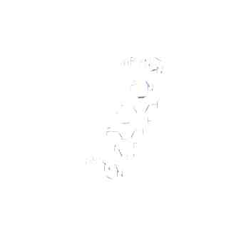 CCCCn1cc[n+](C)c1/C([O-])=N/c1c(F)c(F)c(-c2c(F)c(F)c(/N=C(\[O-])c3n(CCCC)cc[n+]3C)c(F)c2F)c(F)c1F